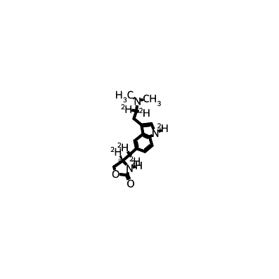 [2H]N1C(=O)OC[C@]1([2H])C([2H])([2H])c1ccc2c(c1)c(CC([2H])([2H])N(C)C)cn2[2H]